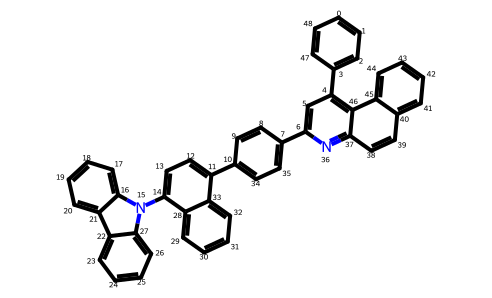 c1ccc(-c2cc(-c3ccc(-c4ccc(-n5c6ccccc6c6ccccc65)c5ccccc45)cc3)nc3ccc4ccccc4c23)cc1